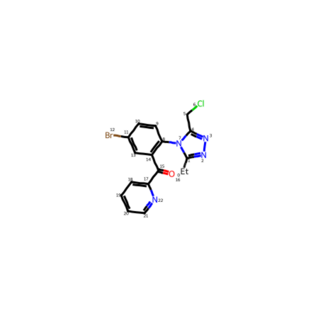 CCc1nnc(CCl)n1-c1ccc(Br)cc1C(=O)c1ccccn1